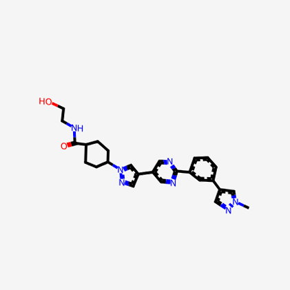 Cn1cc(-c2cccc(-c3ncc(-c4cnn(C5CCC(C(=O)NCCO)CC5)c4)cn3)c2)cn1